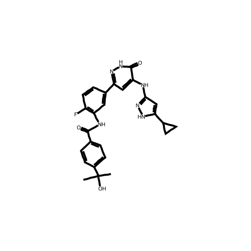 CC(C)(O)c1ccc(C(=O)Nc2cc(-c3cc(Nc4cc(C5CC5)[nH]n4)c(=O)[nH]n3)ccc2F)cc1